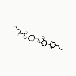 CCCC[C@H](F)C(=O)O[C@H]1CC[C@H](COc2ccc(-c3ncc(CCC)cn3)cc2Cl)CC1